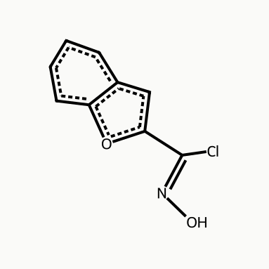 ON=C(Cl)c1cc2ccccc2o1